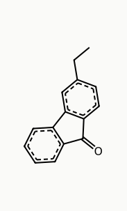 CCc1ccc2c(c1)-c1ccccc1C2=O